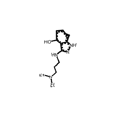 CCN(CC)CCCNc1n[nH]c2cccc(O)c12